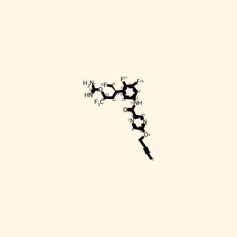 CC#CCOc1cnc(C(=O)Nc2cc(F)c(F)c([C@H](CF)C[C@H](OC(=N)N)C(F)(F)F)c2)cn1